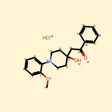 COc1ccccc1N1CCC(O)(CC(=O)c2ccccc2)CC1.Cl